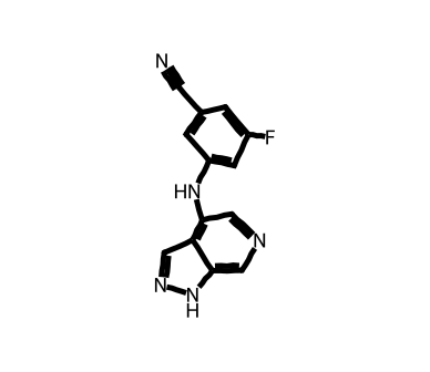 N#Cc1cc(F)cc(Nc2cncc3[nH]ncc23)c1